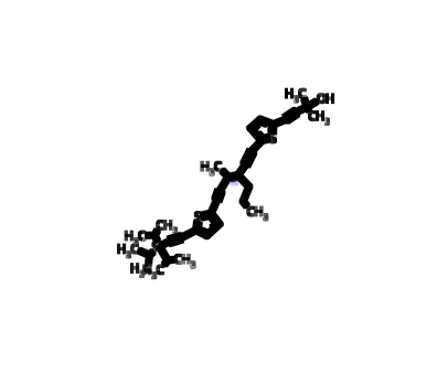 CCC/C(C#Cc1ccc(C#CC(C)(C)O)s1)=C(/C)C#Cc1ccc(C#C[Si](C(C)C)(C(C)C)C(C)C)s1